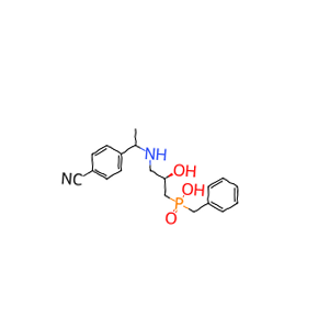 CC(NC[C@@H](O)CP(=O)(O)Cc1ccccc1)c1ccc(C#N)cc1